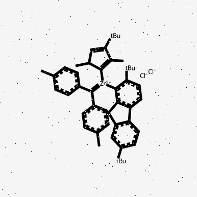 CC1=[C]([Zr+2](=[C](c2ccc(C)cc2)c2ccc(C)cc2)[c]2c(C(C)(C)C)ccc3c2Cc2cc(C(C)(C)C)ccc2-3)C(C)C=C1C(C)(C)C.[Cl-].[Cl-]